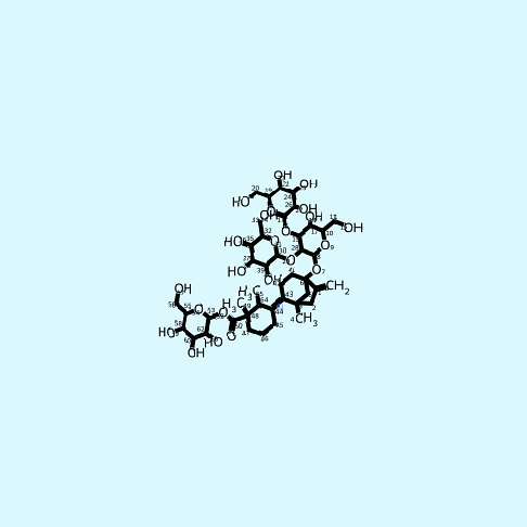 C=C1CC2(C)CC1(OC1OC(CO)C(O)C(OC3OC(CO)C(O)C(O)C3O)C1OC1OC(CO)C(O)C(O)C1O)CC/C2=C1/CCCC(C)(C(=O)OC2OC(CO)C(O)C(O)C2O)C1C